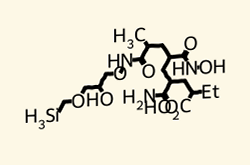 CCC(CC(CC(CC(C)C(=O)NOCC(O)COC[SiH3])C(=O)NO)C(N)=O)C(=O)O